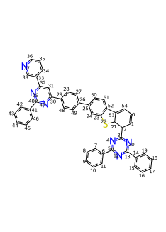 C1=CC(c2nc(-c3ccccc3)nc(-c3ccccc3)n2)C2Sc3cc(-c4ccc(-c5cc(-c6cccnc6)nc(-c6ccccc6)n5)cc4)ccc3C2=C1